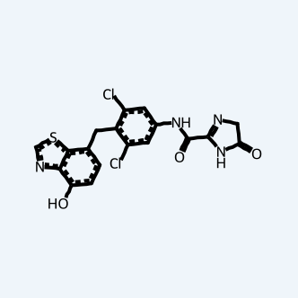 O=C1CN=C(C(=O)Nc2cc(Cl)c(Cc3ccc(O)c4ncsc34)c(Cl)c2)N1